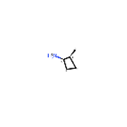 C[C@H]1CC[C@H]1N